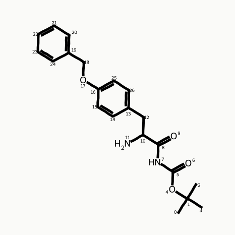 CC(C)(C)OC(=O)NC(=O)C(N)Cc1ccc(OCc2ccccc2)cc1